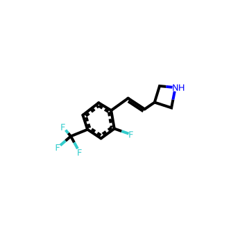 Fc1cc(C(F)(F)F)ccc1/C=C/C1CNC1